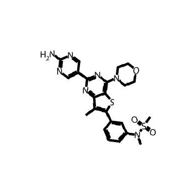 Cc1c(-c2cccc(N(C)S(C)(=O)=O)c2)sc2c(N3CCOCC3)nc(-c3cnc(N)nc3)nc12